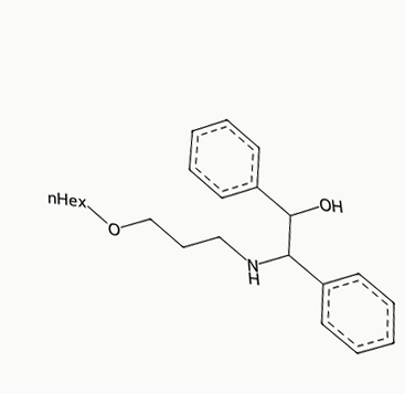 CCCCCCOCCCNC(c1ccccc1)C(O)c1ccccc1